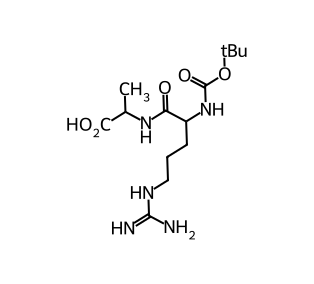 CC(NC(=O)C(CCCNC(=N)N)NC(=O)OC(C)(C)C)C(=O)O